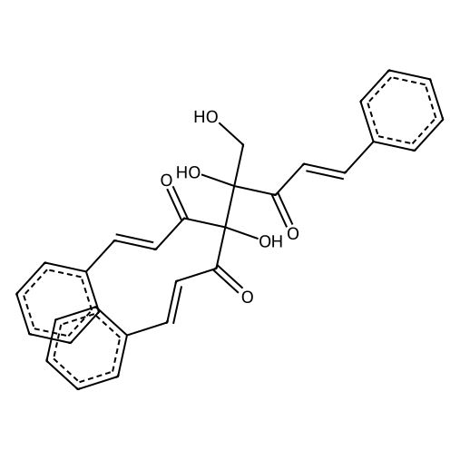 O=C(C=Cc1ccccc1)C(O)(CO)C(O)(C(=O)C=Cc1ccccc1)C(=O)C=Cc1ccccc1